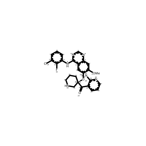 COc1cc2ncnc(Nc3cccc(Cl)c3F)c2cc1O[C@]1(C(=O)c2cccnc2N)CCCNC1